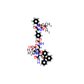 CC(C)(C)OC(=O)N[C@@H](Cc1ccc(OC(=O)NCC[C@@H](C(=O)N[C@@H](CSC(c2ccccc2)(c2ccccc2)c2ccccc2)C(N)=O)N(C(=O)O)C(C)(C)C)cc1)C(=O)Nc1ccccc1